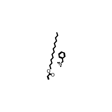 C=CC(=O)OCCCCCCCCCCCCCC.CN(C)Cc1ccccc1